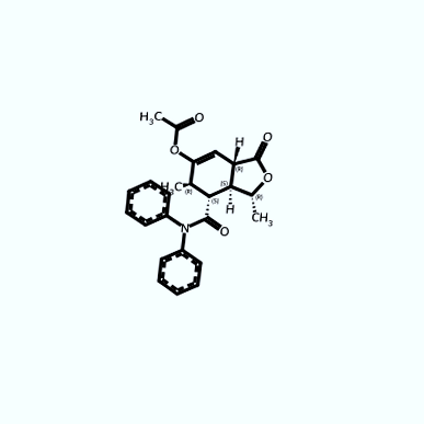 CC(=O)OC1=C[C@@H]2C(=O)O[C@H](C)[C@H]2[C@H](C(=O)N(c2ccccc2)c2ccccc2)[C@H]1C